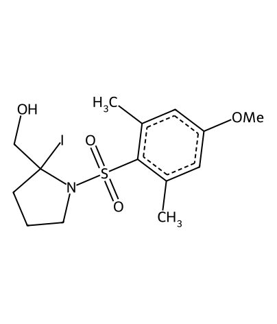 COc1cc(C)c(S(=O)(=O)N2CCCC2(I)CO)c(C)c1